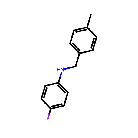 Cc1ccc(CNc2ccc(I)cc2)cc1